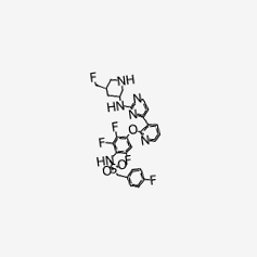 O=S(=O)(Cc1ccc(F)cc1)Nc1c(F)cc(Oc2ncccc2-c2ccnc(NC3CNC[C@H](CF)C3)n2)c(F)c1F